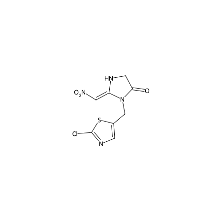 O=C1CNC(=C[N+](=O)[O-])N1Cc1cnc(Cl)s1